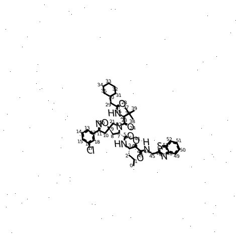 CCC[C@H](NC(=O)[C@@H]1C[C@]2(CC(c3cccc(Cl)c3)=NO2)CN1C(=O)[C@@H](NC(=O)CC1CCCCC1)C(C)(C)C)C(=O)C(=O)NCc1nc2ccccc2s1